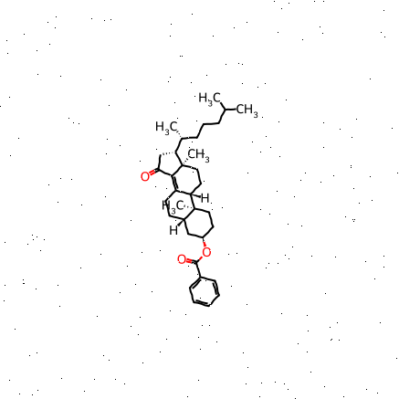 CC(C)CCC[C@@H](C)[C@H]1CC(=O)C2=C3CC[C@H]4C[C@H](OC(=O)c5ccccc5)CC[C@]4(C)[C@H]3CC[C@@]21C